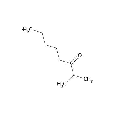 [CH2]CCCCC(=O)C(C)C